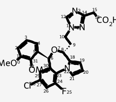 COc1cccc([C@H]2O[C@H](CCn3cnc(CC(=O)O)n3)c3cccn3-c3c(F)cc(Cl)cc32)c1OC